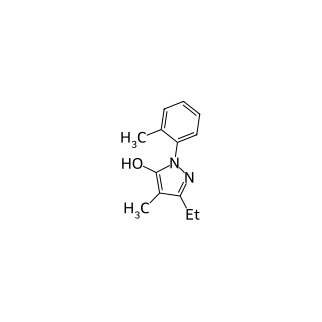 CCc1nn(-c2ccccc2C)c(O)c1C